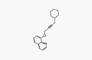 C(#CCC1CCCCC1)COc1cccc2cccnc12